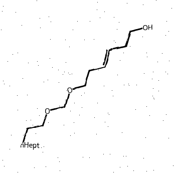 CCCCCCCCCOCOCCC=CCCO